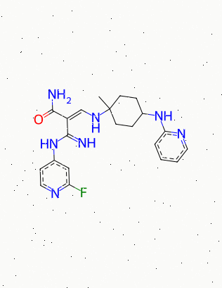 CC1(N/C=C(\C(=N)Nc2ccnc(F)c2)C(N)=O)CCC(Nc2ccccn2)CC1